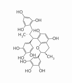 C[C@H](Cc1c(O)cc(O)cc1O)[C@H](c1cc(O)c(O)c(O)c1)c1c(O)cc(O)c2c1O[C@H](c1cc(O)c(O)c(O)c1)[C@H](C)C2